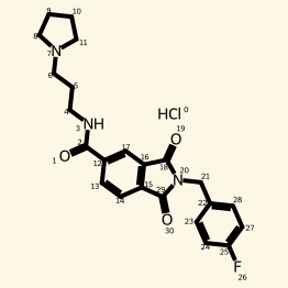 Cl.O=C(NCCCN1CCCC1)c1ccc2c(c1)C(=O)N(Cc1ccc(F)cc1)C2=O